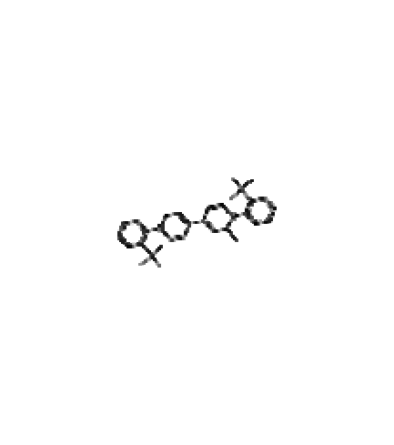 CC1C=C(C2=CCN(c3ccccc3C(C)(C)C)C=C2)C=CN1c1ccccc1C(C)(C)C